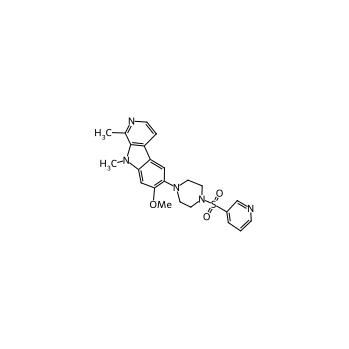 COc1cc2c(cc1N1CCN(S(=O)(=O)c3cccnc3)CC1)c1ccnc(C)c1n2C